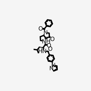 CC(C)C[C@H](NC(=O)c1ccc(-n2cccn2)cc1)C(=O)N1CCC2[C@H]1C(=O)CN2C(=O)c1ccccc1